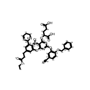 CCOC(=O)CCc1cc(Oc2nc(Oc3cc(C#N)ccc3OCc3ccccc3)nc(OC(CCC(=O)O)C(=O)O)c2[N+](=O)[O-])cc(C2N=CCCN2)c1